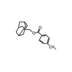 Cc1ccc(C(=O)OCC23CC4CC(CC(C4)C2)C3)cc1